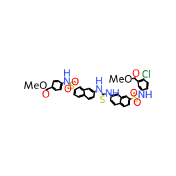 COC(=O)c1ccc(NS(=O)(=O)c2ccc3ccc(NC(=S)Nc4ccc5ccc(S(=O)(=O)Nc6ccc(Cl)c(C(=O)OC)c6)cc5c4)cc3c2)cc1